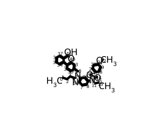 CCCCc1nc2ccc(N(CCC)S(=O)(=O)c3ccc(OC)cc3)cc2n1Cc1ccc(-c2ccccc2C(=O)O)cc1